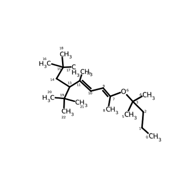 CCCC(C)(C)O/C(C)=C/C=C(\C)C(CC(C)(C)C)C(C)(C)C